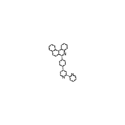 c1ccc(-c2cc(-c3ccc(-c4nc5ccccc5c5c4ccc4ccccc45)cc3)ccn2)nc1